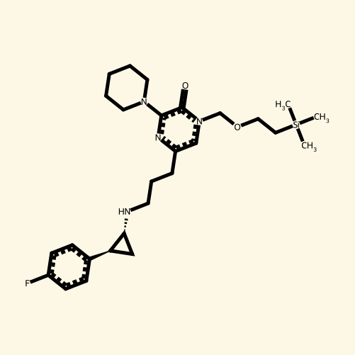 C[Si](C)(C)CCOCn1cc(CCCN[C@@H]2C[C@H]2c2ccc(F)cc2)nc(N2CCCCC2)c1=O